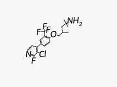 CC(COc1ccc(-c2ccnc(F)c2Cl)cc1C(F)(F)F)CC(C)(C)N